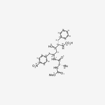 COC(=O)N[C@H](C(=O)NN(Cc1ccc([N+](=O)[O-])cc1)C[C@@H](O)[C@H](Cc1ccccc1)NC(=O)O)C(C)(C)C